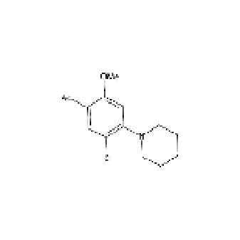 COc1cc(N2CCCCC2)c(Cl)cc1C(C)=O